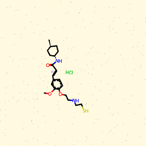 COc1cc(/C=C/C(=O)N[C@H]2CC[C@H](C)CC2)ccc1OCCNCCS.Cl